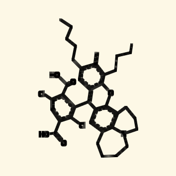 C=c1c(CCCCC)cc2c(c1CCCC)Oc1c(cc3c4c1CCCN4CCCC3)C=2c1c(Cl)c(C(=O)O)cc(Cl)c1C(=O)O